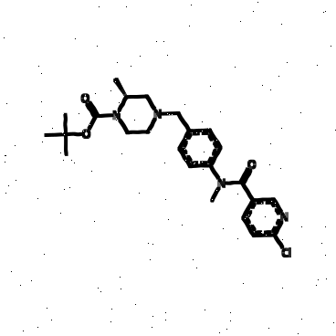 C[C@H]1CN(Cc2ccc(N(C)C(=O)c3ccc(Cl)nc3)cc2)CCN1C(=O)OC(C)(C)C